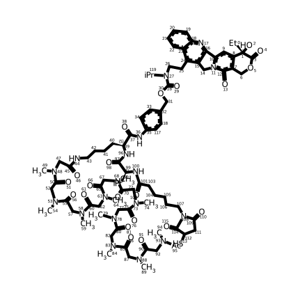 CC[C@@]1(O)C(=O)OCc2c1cc1n(c2=O)Cc2c-1nc1ccccc1c2CCN(C(=O)OCc1ccc(NC(=O)[C@H](CCCCNC(=O)CN(C)C(=O)CN(C)C(=O)CN(C)C(=O)CN(C)C(=O)CN(C)C(=O)CN(C)C(=O)CN(C)C(=O)CN(C)C(=O)CN(C)C(=O)CN(C)C(C)=O)NC(=O)[C@@H](NC(=O)CCCCCN2C(=O)CC(S)C2=O)C(C)C)cc1)C(C)C